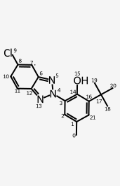 Cc1cc(-n2nc3[c]c(Cl)ccc3n2)c(O)c(C(C)(C)C)c1